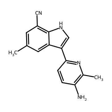 Cc1cc(C#N)c2[nH]cc(-c3ccc(N)c(C)n3)c2c1